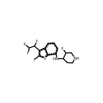 FC(F)C(F)c1c(I)sc2c(NC3CCNCC3F)cccc12